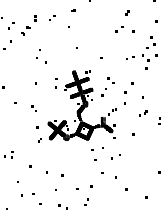 CN[C@@H]1C[C@H](OC(C)(C)C)[C@@H]1CO[Si](C)(C)C(C)(C)C